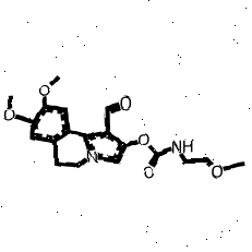 COCCNC(=O)Oc1cn2c(c1C=O)-c1cc(OC)c(OC)cc1CC2